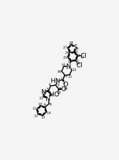 O=C(NC(Cc1cn(Cc2ccccc2)cn1)C(=O)O)C1CCN(c2cc3ccsc3c(Cl)c2Cl)CC1